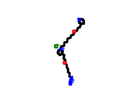 [Cl-].[N-]=[N+]=NCCCCCCOCCCc1ccc[n+](CCCCCCCCOCCCc2cccnc2)c1